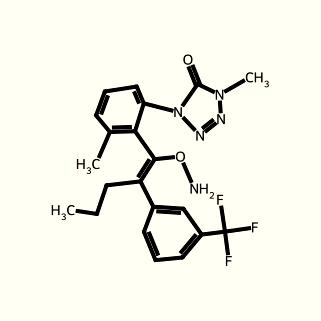 CCC/C(=C(/ON)c1c(C)cccc1-n1nnn(C)c1=O)c1cccc(C(F)(F)F)c1